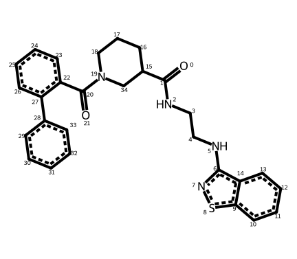 O=C(NCCNc1nsc2ccccc12)C1CCCN(C(=O)c2ccccc2-c2ccccc2)C1